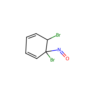 O=NC1(Br)C=CC=CC1Br